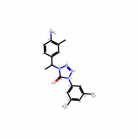 Cc1cc(C(C)n2nnn(-c3cc(C(F)(F)F)cc(C(F)(F)F)c3)c2=O)ccc1N